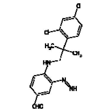 CC(C)(CNc1ccc(C=O)cc1N=N)c1ccc(Cl)cc1Cl